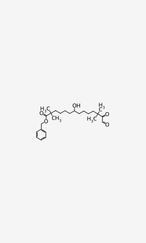 CC(C)(CCCCC(O)CCCCC(C)(C)C(=O)OCc1ccccc1)C(=O)C=O